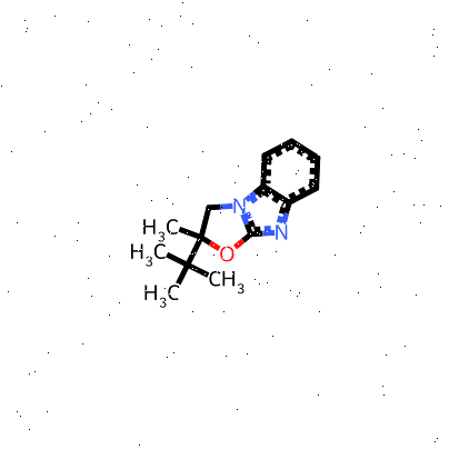 CC(C)(C)C1(C)Cn2c(nc3ccccc32)O1